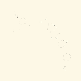 [C-]#[N+]c1ccc(OC2CCN(C(=O)c3ccc(C(=O)Nc4ccc(Oc5ccc(C#N)cc5)nc4)nc3)CC2)c(OC)c1